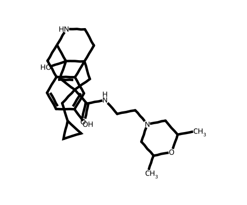 CC1CN(CCNC(=O)C2(CC3CC3)CC34CCNC(Cc5ccc(O)cc53)C4(O)C2)CC(C)O1